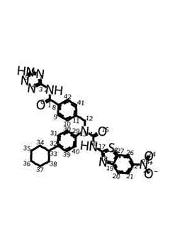 O=C(Nc1nn[nH]n1)c1ccc(CN(C(=O)Nc2nc3ccc([N+](=O)[O-])cc3s2)c2ccc(C3CCCCC3)cc2)cc1